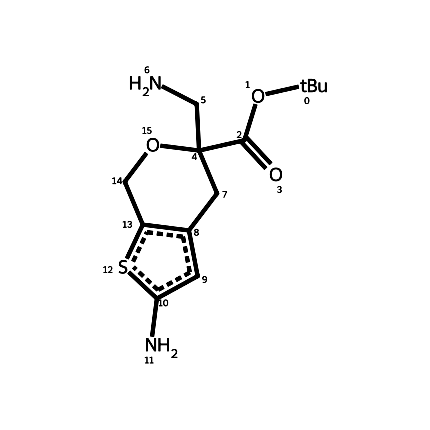 CC(C)(C)OC(=O)C1(CN)Cc2cc(N)sc2CO1